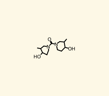 CC1CN(C(=O)N2CCC(O)C(C)C2)CCC1O